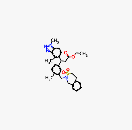 CCOC(=O)CC(c1ccc(C)c(CN2Cc3ccccc3CCS2(=O)=O)c1)c1ccc2c(nnn2C)c1C